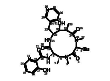 CCC(C)C1C(=O)N(C)[C@H](C)[C@H](NC(=O)c2ncccc2O)C(=O)N[C@@H](Cc2cccnc2)[C@@H](O)[C@@H](C)C(=O)N1C